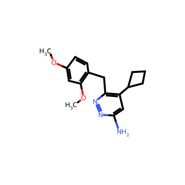 COc1ccc(Cc2nnc(N)cc2C2CCC2)c(OC)c1